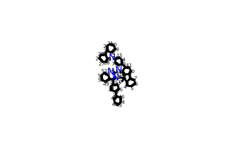 CC1(C)c2ccccc2-c2ccc3c4ccc(-n5c6ccccc6c6ccccc65)cc4n(-c4nc(-c5ccc(-c6ccccc6)cc5)c5ccccc5n4)c3c21